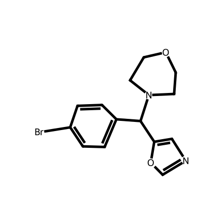 Brc1ccc(C(c2cnco2)N2CCOCC2)cc1